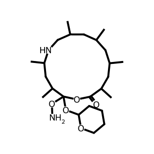 CC1CNC(C)CC(C)C(ON)(OC2CCCCO2)OC(=O)C(C)CC(C)CC(C)C1